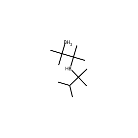 BC(C)(C)C(C)(C)BC(C)(C)C(C)C